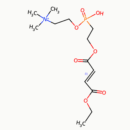 CCOC(=O)/C=C/C(=O)OCCP(=O)(O)OCC[N+](C)(C)C